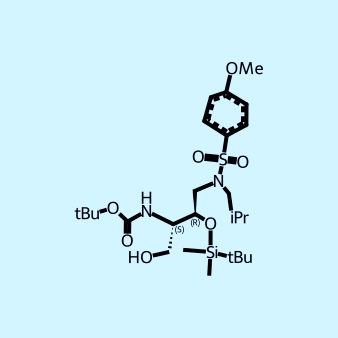 COc1ccc(S(=O)(=O)N(CC(C)C)C[C@@H](O[Si](C)(C)C(C)(C)C)[C@H](CO)NC(=O)OC(C)(C)C)cc1